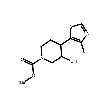 Cc1ncsc1C1CCN(C(=O)OC(C)(C)C)CC1O